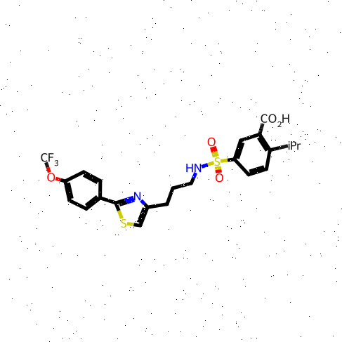 CC(C)c1ccc(S(=O)(=O)NCCCc2csc(-c3ccc(OC(F)(F)F)cc3)n2)cc1C(=O)O